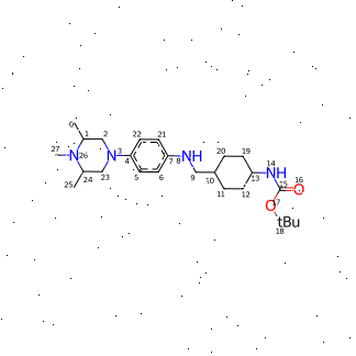 CC1CN(c2ccc(NCC3CCC(NC(=O)OC(C)(C)C)CC3)cc2)CC(C)N1C